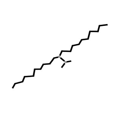 CCCCCCCCCCN(CCCCCCCCCC)N(C)C